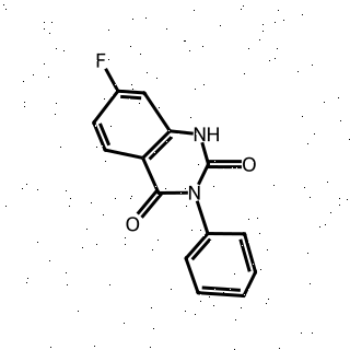 O=c1[nH]c2cc(F)ccc2c(=O)n1-c1ccccc1